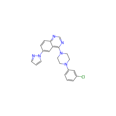 Clc1cccc(N2CCN(c3ncnc4ccc(-n5cccn5)cc34)CC2)c1